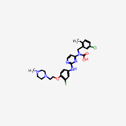 Cc1ccc(Cl)cc1CN(C(=O)O)c1ccnc(Nc2ccc(OCCN3CCN(C)CC3)c(F)c2)n1